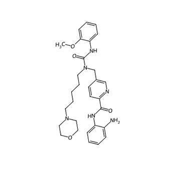 COc1ccccc1NC(=O)N(CCCCCN1CCOCC1)Cc1ccc(C(=O)Nc2ccccc2N)nc1